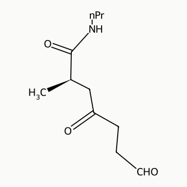 CCCNC(=O)[C@H](C)CC(=O)CCC=O